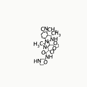 Cc1nc(NC(C)c2cccc(C#N)c2C)c(C2OCCO2)c(C(Cl)C(=O)NC2CNCCO2)n1